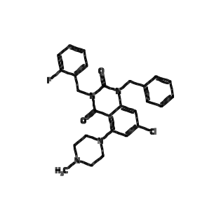 CN1CCN(c2cc(Cl)cc3c2c(=O)n(Cc2ccccc2F)c(=O)n3Cc2ccccc2)CC1